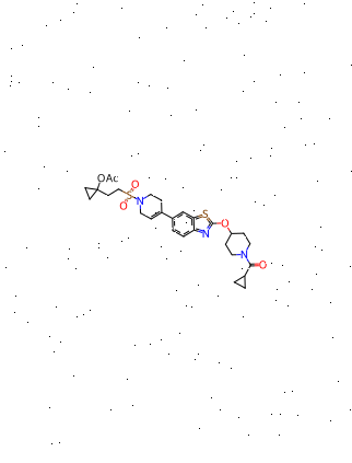 CC(=O)OC1(CCS(=O)(=O)N2CC=C(c3ccc4nc(OC5CCN(C(=O)C6CC6)CC5)sc4c3)CC2)CC1